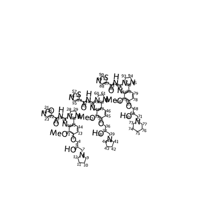 COc1c(OC[C@H](O)CN2CCCC2)ccc2c1N=C(NC(=O)c1cnco1)N1CCN=C21.COc1c(OC[C@H](O)CN2CCCC2)ccc2c1N=C(NC(=O)c1cncs1)N1CCN=C21.COc1c(OC[C@H](O)CN2CCCCC2)ccc2c1N=C(NC(=O)c1cncs1)N1CCN=C21